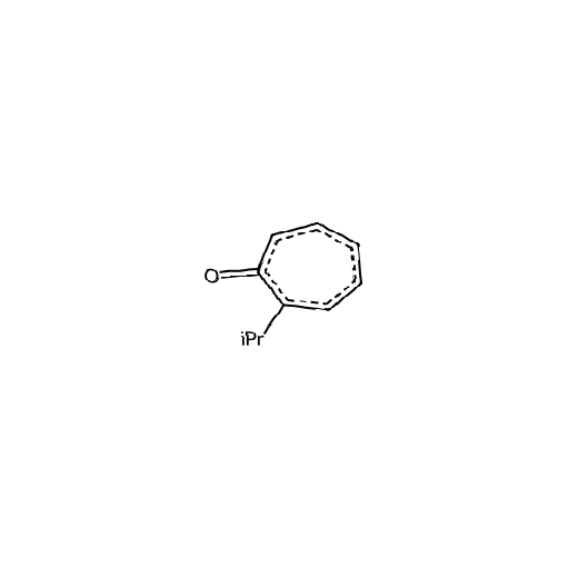 CC(C)c1cccccc1=O